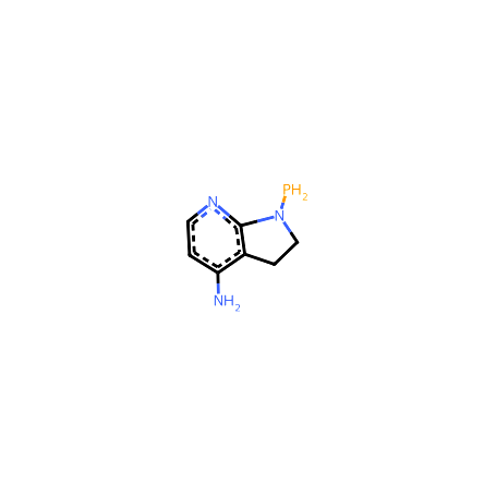 Nc1ccnc2c1CCN2P